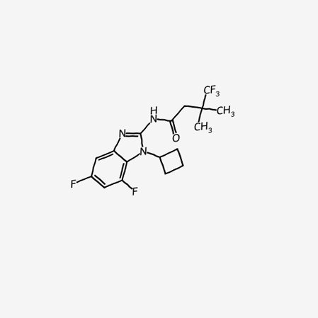 CC(C)(CC(=O)Nc1nc2cc(F)cc(F)c2n1C1CCC1)C(F)(F)F